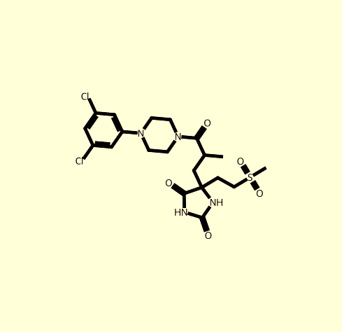 CC(CC1(CCS(C)(=O)=O)NC(=O)NC1=O)C(=O)N1CCN(c2cc(Cl)cc(Cl)c2)CC1